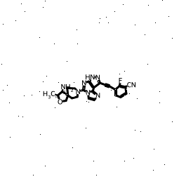 C[C@@H]1OCC2(CCN(c3nc4[nH]nc(C#Cc5cccc(C#N)c5F)c4c4nccn34)CC2)[C@@H]1N